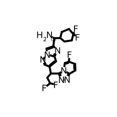 N[C@H](c1cn2ncc(C(CC(F)F)c3nnc4ccc(F)cn34)cc2n1)C1CCC(F)(F)CC1